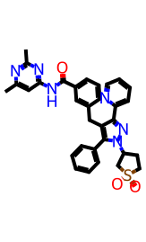 Cc1cc(NC(=O)c2cccc(Cc3c(-c4ccccn4)nn(C4CCS(=O)(=O)C4)c3-c3ccccc3)c2)nc(C)n1